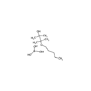 CCCCCOC(C)(C)C(C)(C)O.OB(O)O